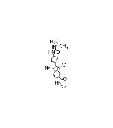 CC(C)NC(=O)Nc1ccc(-c2c(C#N)c3ccc(C(=O)NC4CC4)cc3n2C2CCC2)cc1